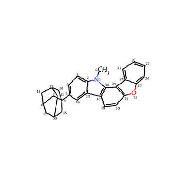 Cn1c2ccc(C34CC5CC(CC(C5)C3)C4)cc2c2ccc3oc4ccccc4c3c21